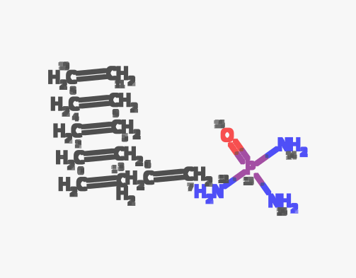 C=C.C=C.C=C.C=C.C=C.C=C.NP(N)(N)=O